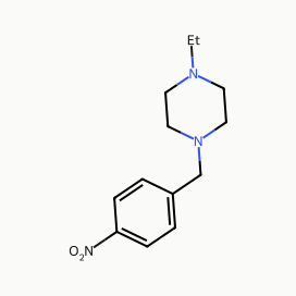 CCN1CCN(Cc2ccc([N+](=O)[O-])cc2)CC1